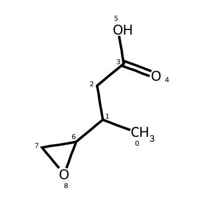 CC(CC(=O)O)C1CO1